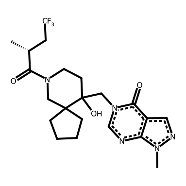 C[C@H](CC(F)(F)F)C(=O)N1CCC(O)(Cn2cnc3c(cnn3C)c2=O)C2(CCCC2)C1